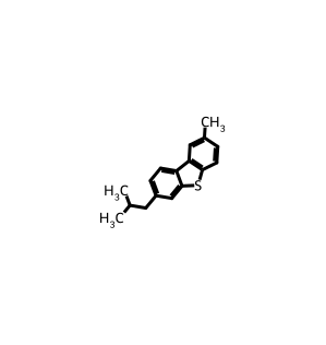 Cc1ccc2sc3cc(CC(C)C)ccc3c2c1